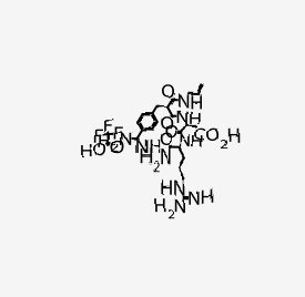 C=CCNC(=O)[C@H](Cc1ccc(C(=N)N)cc1)C(=O)NC(CC(=O)O)C(=O)NC(CCCNC(=N)N)C(N)=O.O=C(O)C(F)(F)F